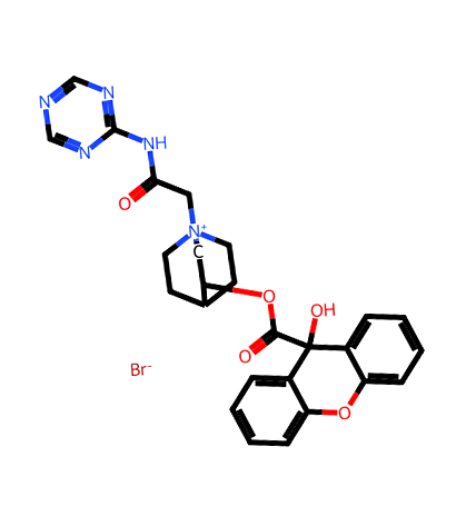 O=C(C[N+]12CCC(CC1)C(OC(=O)C1(O)c3ccccc3Oc3ccccc31)C2)Nc1ncncn1.[Br-]